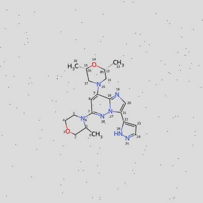 CC1COCCN1c1cc(N2C[C@@H](C)O[C@@H](C)C2)c2ncc(-c3ccn[nH]3)n2n1